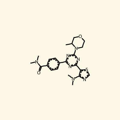 CC1COCCN1c1nc(-c2ccc(C(=O)N(C)C)cc2)nc(-c2scnc2N(C)C)n1